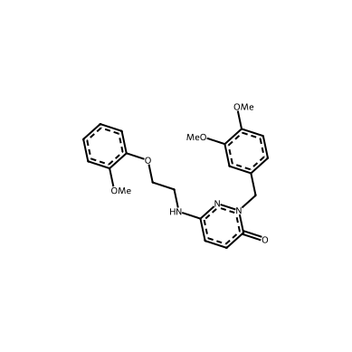 COc1ccc(Cn2nc(NCCOc3ccccc3OC)ccc2=O)cc1OC